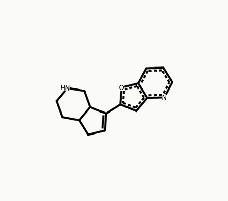 C1=C(c2cc3ncccc3o2)C2CNCCC2C1